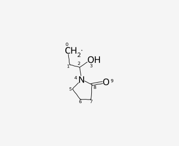 [CH2]CC(O)N1CCCC1=O